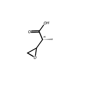 C[C@@H](C(=O)O)C1CO1